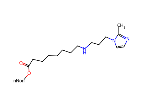 CCCCCCCCCOC(=O)CCCCCCCNCCCn1ccnc1C